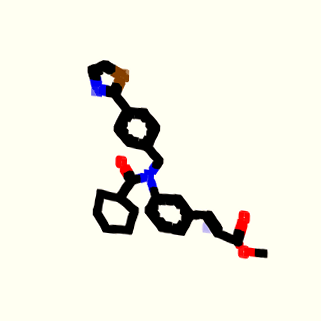 COC(=O)/C=C/c1cccc(N(Cc2ccc(-c3nccs3)cc2)C(=O)C2CCCCC2)c1